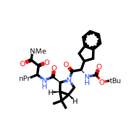 CCCC(NC(=O)[C@@H]1[C@@H]2[C@H](CN1C(=O)[C@@H](NC(=O)OC(C)(C)C)C1Cc3ccccc3C1)C2(C)C)C(=O)C(=O)NC